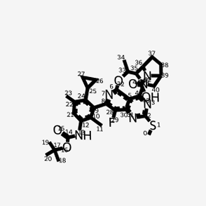 CSc1nc2c3c(nc(-c4c(C)c(NC(=O)OC(C)(C)C)cc(C)c4C4CC4)c(F)c3n1)OC(C)C1C3CCC(CN21)N3C(=O)O